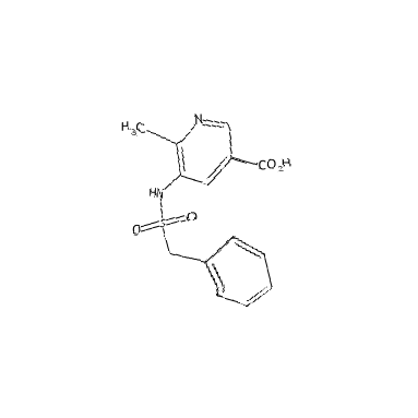 Cc1ncc(C(=O)O)cc1NS(=O)(=O)Cc1ccccc1